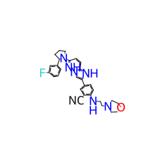 N#Cc1cc(-c2cnc(/C=C\C(=N)N3CCCC3c3cccc(F)c3)[nH]2)ccc1NCCN1CCOCC1